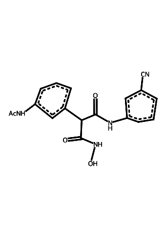 CC(=O)Nc1cccc(C(C(=O)NO)C(=O)Nc2cccc(C#N)c2)c1